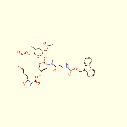 CC(=O)O[C@H]1[C@H](Oc2ccc(COC(=O)N3CCOC3CCC=O)cc2NC(=O)CCNC(=O)OCC2c3ccccc3-c3ccccc32)O[C@H](COC=O)[C@@H](C)[C@@H]1C